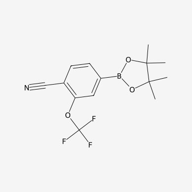 CC1(C)OB(c2ccc(C#N)c(OC(F)(F)F)c2)OC1(C)C